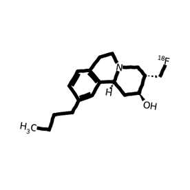 CCCCc1ccc2c(c1)[C@@H]1C[C@H](O)[C@@H](C[18F])CN1CC2